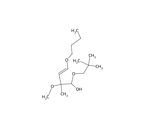 CCCCOC=CC(C)(OC)C(O)OCC(C)(C)C